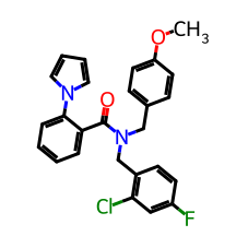 COc1ccc(CN(Cc2ccc(F)cc2Cl)C(=O)c2ccccc2-n2cccc2)cc1